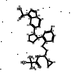 CC(C)(C)C(=O)NN(CCc1ccc(F)cc1C1CCCN1c1ccn2ncc(C(=O)O)c2n1)C1CC1